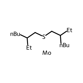 CCCCC(CC)CSCC(CC)CCCC.[Mo]